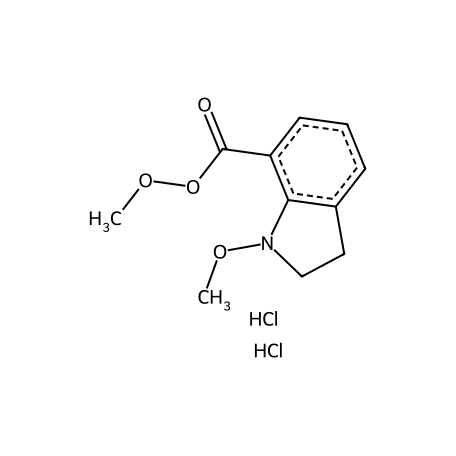 COOC(=O)c1cccc2c1N(OC)CC2.Cl.Cl